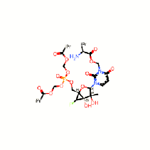 CC(C)C(=O)OCOP(=O)(OCOC(=O)C(C)C)OC[C@@]12O[C@@H](n3ccc(=O)n(COC(=O)C(N)C(C)C)c3=O)[C@](C)(O)[C@@]1(O)C2F